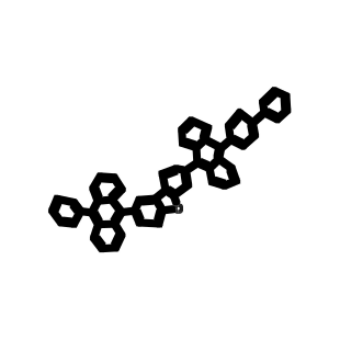 c1ccc(-c2ccc(-c3c4ccccc4c(-c4ccc5c(c4)oc4ccc(-c6c7ccccc7c(-c7ccccc7)c7ccccc67)cc45)c4ccccc34)cc2)cc1